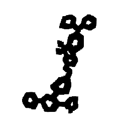 CCC1(CC)c2cc(/C=C/c3ccc(C4=CC(c5ccccc5)CC=C4C4CC=CS4)cc3)ccc2-c2ccc(N(C3=CCCC=C3)C3C=CC=CC3)cc21